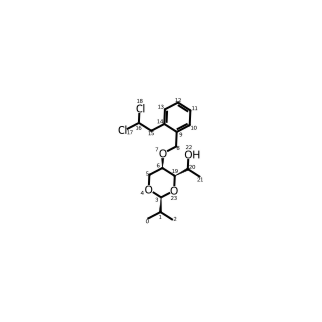 CC(C)[C@H]1OC[C@@H](OCc2ccccc2CC(Cl)Cl)[C@@H](C(C)O)O1